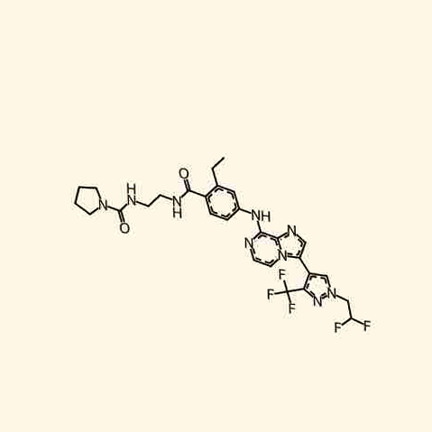 CCc1cc(Nc2nccn3c(-c4cn(CC(F)F)nc4C(F)(F)F)cnc23)ccc1C(=O)NCCNC(=O)N1CCCC1